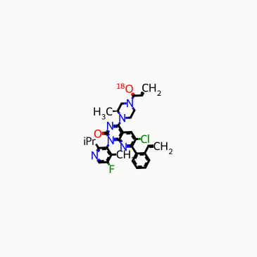 C=CC(=[18O])N1CCN(c2nc(=O)n(-c3c(C(C)C)ncc(F)c3C)c3nc(-c4ccccc4C=C)c(Cl)cc23)[C@@H](C)C1